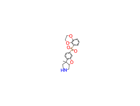 CC12CCNCC1Oc1cc(S(=O)(=O)c3cccc4c3OCCO4)ccc12